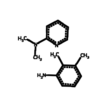 CN(C)c1ccccn1.Cc1cccc(N)c1C